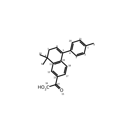 Cc1ccc(C2=CCC(C)(C)c3cc(C(=O)C(=O)O)ccc32)cc1